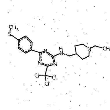 CCN1CCC(CNc2nc(-c3ccc(SC)cc3)nc(C(Cl)(Cl)Cl)n2)CC1